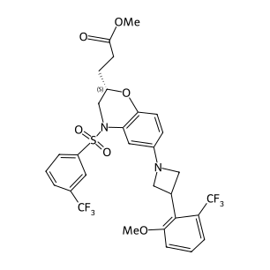 COC(=O)CC[C@H]1CN(S(=O)(=O)c2cccc(C(F)(F)F)c2)c2cc(N3CC(c4c(OC)cccc4C(F)(F)F)C3)ccc2O1